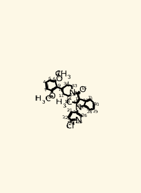 COc1cccc(OC)c1C1CCN(C(=O)c2c(C)n(-c3ccc(Cl)nc3)c3ccccc23)CC1